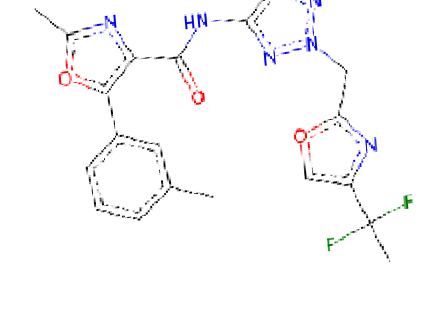 Cc1cccc(-c2oc(C)nc2C(=O)Nc2cnn(Cc3nc(C(C)(F)F)co3)n2)c1